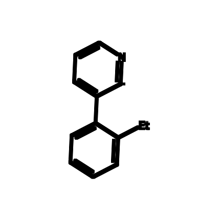 CCc1ccccc1-c1[c]nccc1